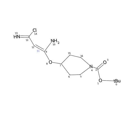 CC(C)(C)OC(=O)N1CCC(O/C(N)=C/C(=N)Cl)CC1